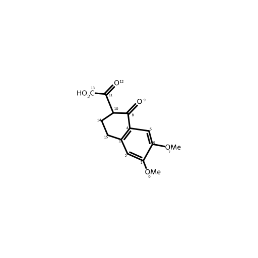 COc1cc2c(cc1OC)C(=O)C(C(=O)C(=O)O)CC2